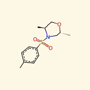 Cc1ccc(S(=O)(=O)N2C[C@@H](C)OC[C@@H]2C)cc1